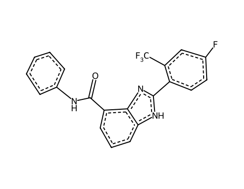 O=C(Nc1ccccc1)c1cccc2[nH]c(-c3ccc(F)cc3C(F)(F)F)nc12